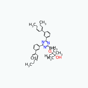 C/C=C(\C=C/CCC)c1cccc(-c2nc(BOC(C)(C)C(C)(C)O)nc(-c3cccc(C(/C=C\CC)=C/CC)c3)n2)c1